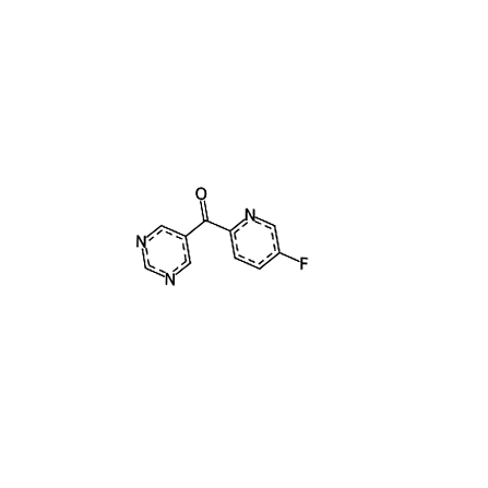 O=C(c1cncnc1)c1ccc(F)cn1